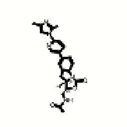 CC(=O)NC[C@@H]1OC(=O)N2c3ccc(-c4ccc(-n5cc(C)nc5C)nc4)cc3C[C@@H]12